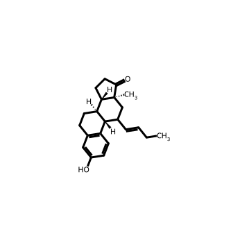 CCC=CC1C[C@]2(C)C(=O)CC[C@H]2[C@@H]2CCc3cc(O)ccc3[C@@H]12